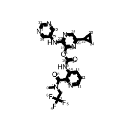 CN(CC(F)(F)F)C(=O)c1ncccc1NC(=O)Oc1nc(C2CC2)cnc1Nc1cncnc1